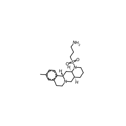 Cc1ccc2c(c1)CCN1C[C@@H]3CCCN(S(=O)(=O)CCCN)[C@@H]3C[C@@H]21